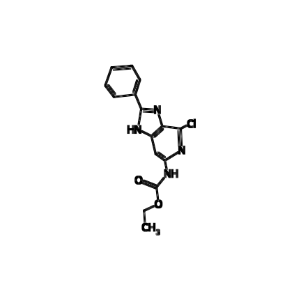 CCOC(=O)Nc1cc2[nH]c(-c3ccccc3)nc2c(Cl)n1